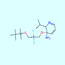 CC(C)C1N=CC=CC1(N)OCC(F)(F)CO[Si](C)(C)C(C)(C)C